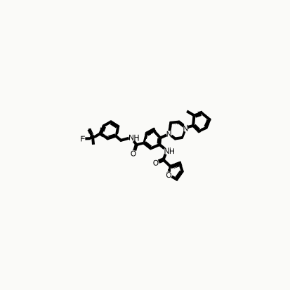 Cc1ccccc1N1CCN(c2ccc(C(=O)NCc3cccc(C(C)(C)F)c3)cc2NC(=O)c2ccco2)CC1